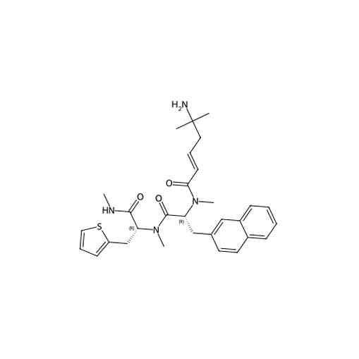 CNC(=O)[C@@H](Cc1cccs1)N(C)C(=O)[C@@H](Cc1ccc2ccccc2c1)N(C)C(=O)C=CCC(C)(C)N